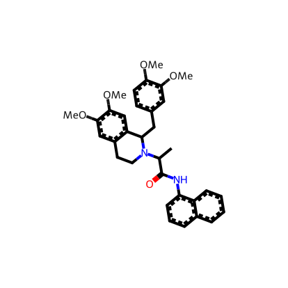 COc1ccc(CC2c3cc(OC)c(OC)cc3CCN2C(C)C(=O)Nc2cccc3ccccc23)cc1OC